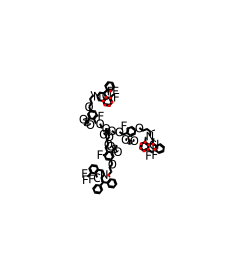 C[C@H](CCOc1cc(F)c(COCOP(=O)(OCOCc2c(F)cc(OCC[C@@H](C)N(Cc3cccc(C(F)(F)F)c3Cl)CC(c3ccccc3)c3ccccc3)cc2S(C)(=O)=O)OCOCc2c(F)cc(OCC[C@@H](C)N(Cc3cccc(C(F)(F)F)c3Cl)CC(c3ccccc3)c3ccccc3)cc2S(C)(=O)=O)c(S(C)(=O)=O)c1)N(Cc1cccc(C(F)(F)F)c1Cl)CC(c1ccccc1)c1ccccc1